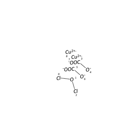 ClOCl.O=C([O-])[O-].O=C([O-])[O-].[Cu+2].[Cu+2]